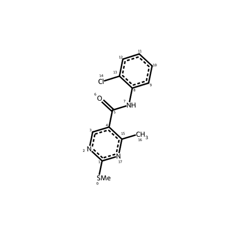 CSc1ncc(C(=O)Nc2ccccc2Cl)c(C)n1